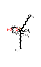 CCCCCCCCCC(CC)C(C)(C(=S)OCC(C)(C)CO)C(CC)CCCCCCCCC